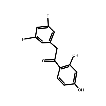 O=C(Cc1cc(F)cc(F)c1)c1ccc(O)cc1O